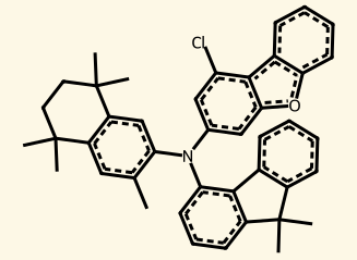 Cc1cc2c(cc1N(c1cc(Cl)c3c(c1)oc1ccccc13)c1cccc3c1-c1ccccc1C3(C)C)C(C)(C)CCC2(C)C